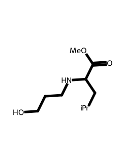 COC(=O)C(CC(C)C)NCCCO